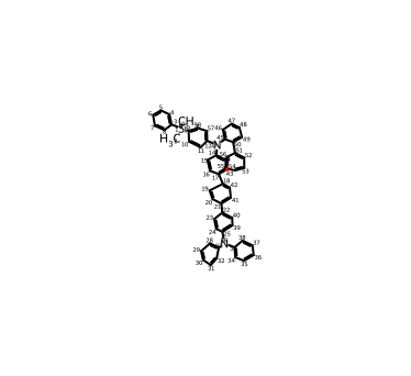 C[Si](C)(c1ccccc1)c1ccc(N(c2ccc(-c3ccc(-c4ccc(N(c5ccccc5)c5ccccc5)cc4)cc3)cc2)c2ccccc2-c2ccccc2)cc1